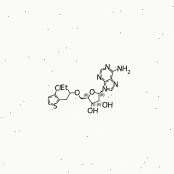 CCC(Cc1sccc1Cl)OC[C@H]1O[C@@H](n2cnc3c(N)ncnc32)[C@H](O)[C@@H]1O